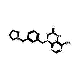 Nc1ncnc2c1NC(=O)CN2Cc1cccc(CN2CCCC2)c1